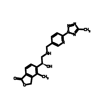 Cc1nnn(-c2ccc(CNC[C@H](O)c3ccc4c(c3C)COC4=O)cn2)n1